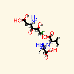 CC(C)[C@H](N)C(=O)O.C[C@H](N)C(=O)O.N[C@@H](CC(=O)O)C(=O)C(=O)CF